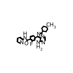 CC1CCC(c2nc(-c3ccc(C(=O)Nc4ccccn4)c(F)c3)c3c(N)nccn23)CC1